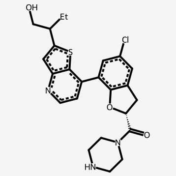 CCC(CO)c1cc2nccc(-c3cc(Cl)cc4c3O[C@@H](C(=O)N3CCNCC3)C4)c2s1